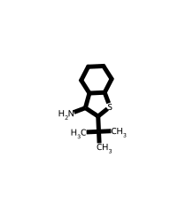 CC(C)(C)C1SC2CCCCC2C1N